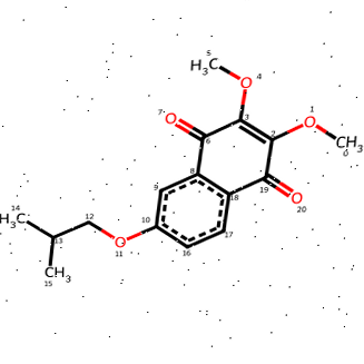 COC1=C(OC)C(=O)c2cc(OCC(C)C)ccc2C1=O